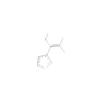 CC(C)=C(CCl)c1ccsc1